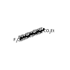 C=C(C(=O)OCC)C(F)(F)C(F)(F)C(F)(F)C(F)(F)C(F)(F)C(F)(F)C(F)(F)C(F)(F)C(F)(F)C(F)(F)C(F)(F)C(F)(F)C(F)(F)C(F)(F)C(F)(F)C(F)(F)C(F)(F)F